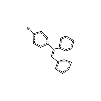 Brc1ccc(/C(=C/c2ccccc2)c2ccccc2)cc1